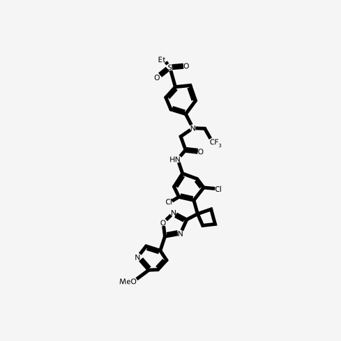 CCS(=O)(=O)c1ccc(N(CC(=O)Nc2cc(Cl)c(C3(c4noc(-c5ccc(OC)nc5)n4)CCC3)c(Cl)c2)CC(F)(F)F)cc1